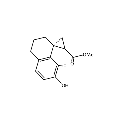 COC(=O)C1C[C@]12CCCc1ccc(O)c(F)c12